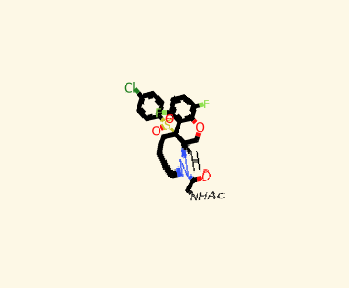 CC(=O)NCC(=O)N1CCC[C@]2(S(=O)(=O)c3ccc(Cl)cc3)c3c(F)ccc(F)c3OC[C@H]12